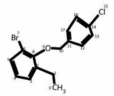 CCc1cccc(Br)c1OCc1ccc(Cl)cc1